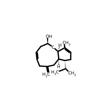 C=C1CC=CC[C@@H](O)C[C@H]2C(C)=CC[C@H](C(C)C)[C@H]2C1